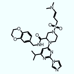 CC(C)c1cc(N2CCN(S(=O)(=O)CC=CN(C)C)CC2C(=O)NCc2ccc3c(c2)OCCO3)nc(-n2ccnc2)n1